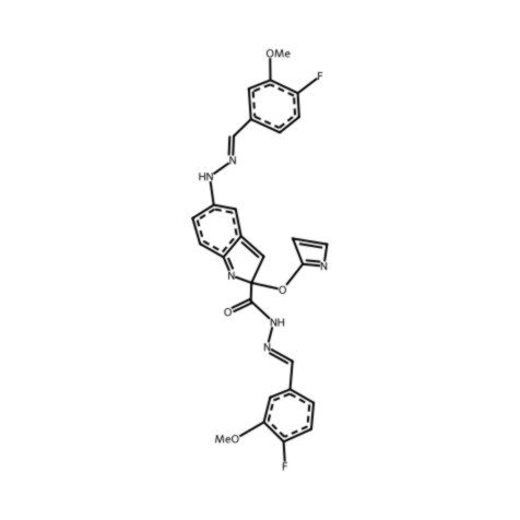 COc1cc(C=NNC(=O)C2(OC3=NC=C3)C=c3cc(NN=Cc4ccc(F)c(OC)c4)ccc3=N2)ccc1F